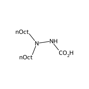 CCCCCCCCN(CCCCCCCC)NC(=O)O